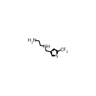 NCCNCc1csc(C(F)(F)F)c1